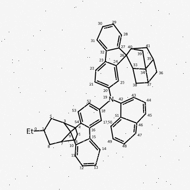 CCC1CC2CCCC(C1)C21c2ccccc2-c2cc(N(c3ccc4c(c3)C3(c5ccccc5-4)C4CC5CC(C4)CC3C5)c3cccc4ccccc34)ccc21